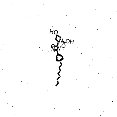 CCCCCCCCc1ccc(-c2noc(C3CC(O)CN3C(=O)O)n2)cc1